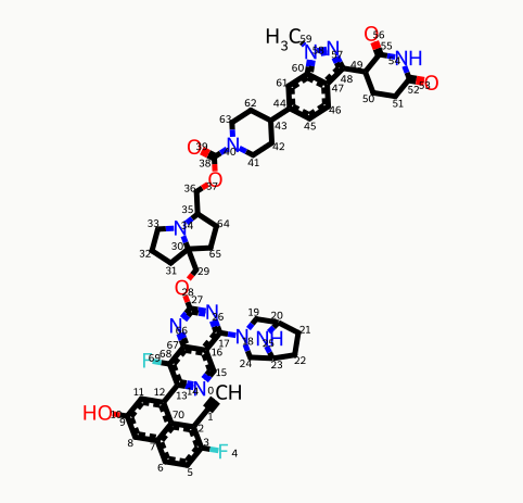 C#Cc1c(F)ccc2cc(O)cc(-c3ncc4c(N5CC6CCC(C5)N6)nc(OCC56CCCN5C(COC(=O)N5CCC(c7ccc8c(C9CCC(=O)NC9=O)nn(C)c8c7)CC5)CC6)nc4c3F)c12